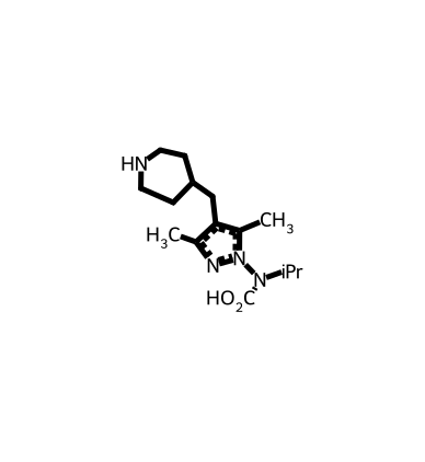 Cc1nn(N(C(=O)O)C(C)C)c(C)c1CC1CCNCC1